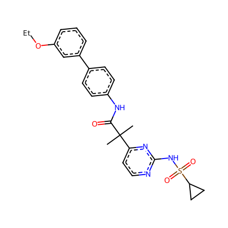 CCOc1cccc(-c2ccc(NC(=O)C(C)(C)c3ccnc(NS(=O)(=O)C4CC4)n3)cc2)c1